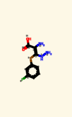 NN/C(Sc1cccc(F)c1)=C(\N)C(=O)O